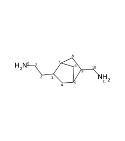 NCCC1CC2CC1CC2CN